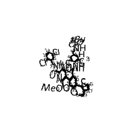 COC(=O)c1nc(C(=O)NCc2cc(Cl)ccc2Cl)ccc1-c1cc2c(cc1C(=O)Nc1c(C)cc(CNC(=O)OC(C)(C)C)cc1C)-c1sccc1CCO2